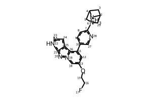 CN1C2CC1CN(c1ccc(-c3cc(OCCF)cn4nc5[nH]ncc5c34)cn1)C2